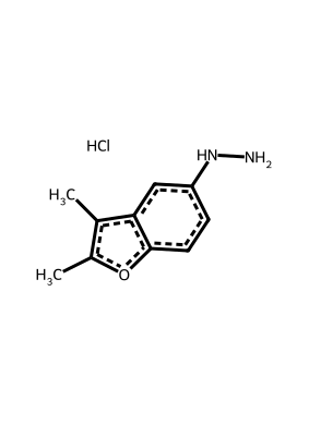 Cc1oc2ccc(NN)cc2c1C.Cl